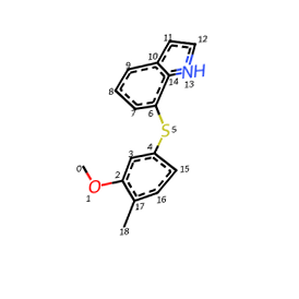 COc1cc(Sc2cccc3cc[nH]c23)ccc1C